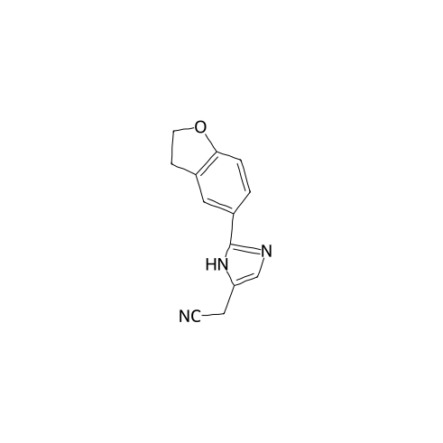 N#CCc1cnc(-c2ccc3c(c2)CCO3)[nH]1